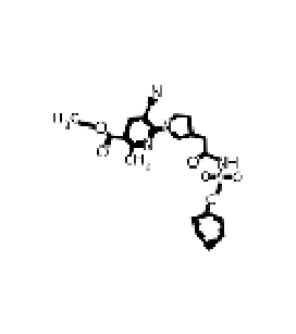 CCOC(=O)c1cc(C#N)c(N2CCC(CC(=O)NS(=O)(=O)CCc3ccccc3)C2)nc1C